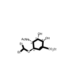 CCOC(=O)C1=C[C@@H](OC(CC)CC)[C@H](NC(C)=O)[C@H](O)[C@@H]1O